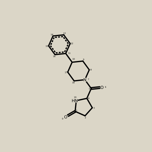 O=C1CCC(C(=O)N2CCC(c3ccccc3)CC2)N1